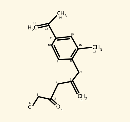 C=C(CC(=O)CCl)Cc1ccc(C(=C)C)cc1C